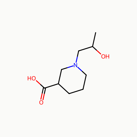 CC(O)CN1CCCC(C(=O)O)C1